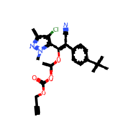 C#CCOC(=O)OC(C)O/C(=C(/C#N)c1ccc(C(C)(C)C)cc1)c1c(Cl)c(C)nn1C